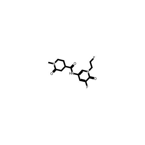 CN1CCC(C(=O)Nc2cc(F)c(=O)n(CCF)c2)CC1=O